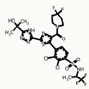 CC(NS(=O)(=O)c1ccc(-c2sc(-c3nnc(C(C)(C)O)[nH]3)nc2C(=O)N2CCC(F)(F)CC2)c(Cl)c1Cl)C(F)(F)F